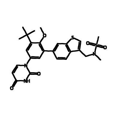 COc1c(-c2ccc3c(CN(C)S(C)(=O)=O)csc3c2)cc(-n2ccc(=O)[nH]c2=O)cc1C(C)(C)C